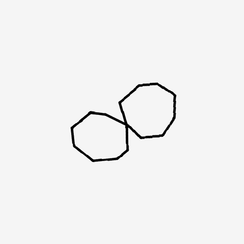 C1CCCC2(CCC1)CCCCCCC2